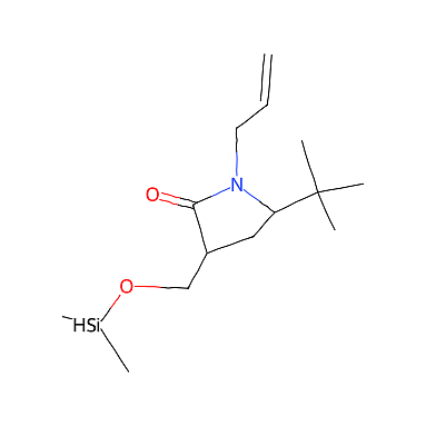 C=CCN1C(=O)C(CO[SiH](C)C)CC1C(C)(C)C